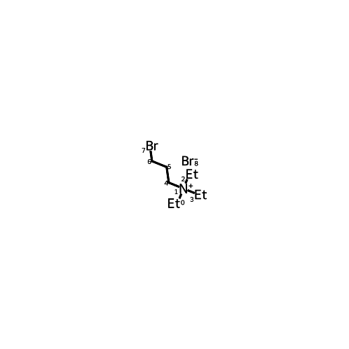 CC[N+](CC)(CC)CCCBr.[Br-]